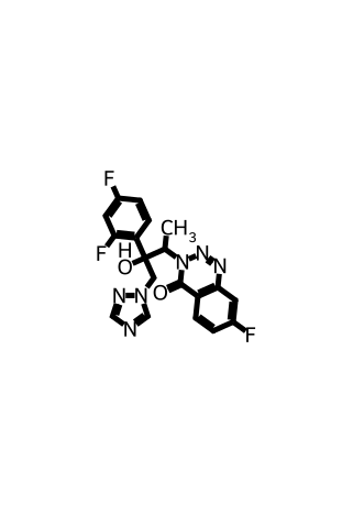 CC(n1nnc2cc(F)ccc2c1=O)C(O)(Cn1cncn1)c1ccc(F)cc1F